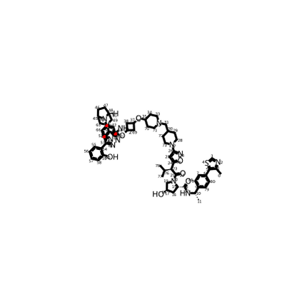 Cc1ncsc1-c1ccc([C@H](C)NC(=O)[C@@H]2C[C@@H](O)CN2C(=O)[C@H](c2cc(N3CCC(CN4CCC(OC5CC(Oc6cc(N7C8CC[C@@H]7CN(c7cc(-c9ccccc9O)nnc7N)C8)ccn6)C5)CC4)CC3)no2)C(C)C)cc1